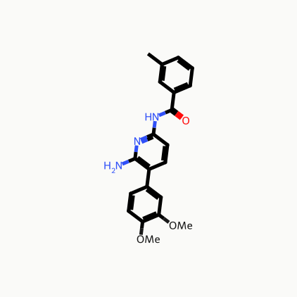 COc1ccc(-c2ccc(NC(=O)c3cccc(C)c3)nc2N)cc1OC